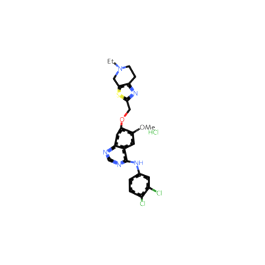 CCN1CCc2nc(COc3cc4ncnc(Nc5ccc(Cl)c(Cl)c5)c4cc3OC)sc2C1.Cl